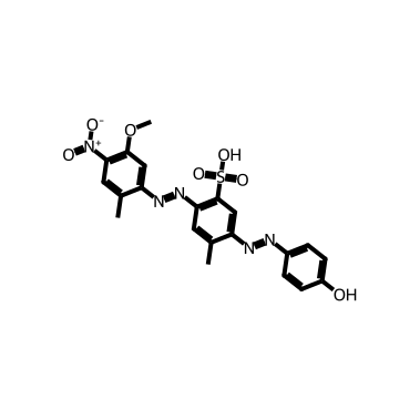 COc1cc(N=Nc2cc(C)c(N=Nc3ccc(O)cc3)cc2S(=O)(=O)O)c(C)cc1[N+](=O)[O-]